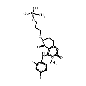 Cn1c(Nc2ccc(I)cc2F)c2c(cc1=O)CCN(OCCCO[Si](C)(C)C(C)(C)C)C2=O